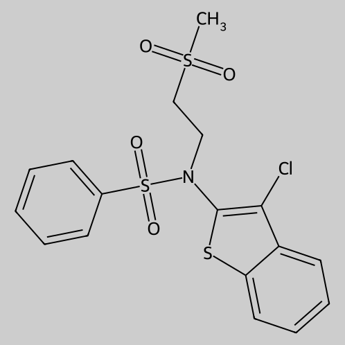 CS(=O)(=O)CCN(c1sc2ccccc2c1Cl)S(=O)(=O)c1ccccc1